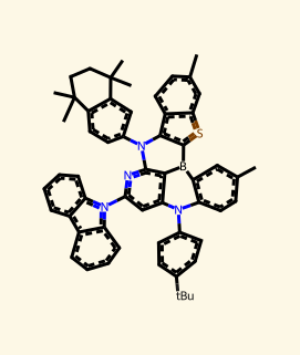 Cc1ccc2c(c1)B1c3sc4cc(C)ccc4c3N(c3ccc4c(c3)C(C)(C)CCC4(C)C)c3nc(-n4c5ccccc5c5ccccc54)cc(c31)N2c1ccc(C(C)(C)C)cc1